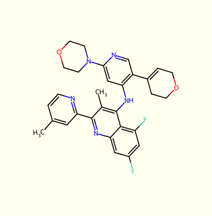 Cc1ccnc(-c2nc3cc(F)cc(F)c3c(Nc3cc(N4CCOCC4)ncc3C3=CCOCC3)c2C)c1